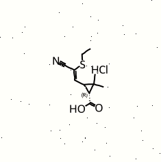 CCSC(C#N)=CC1[C@@H](C(=O)O)C1(C)C.Cl